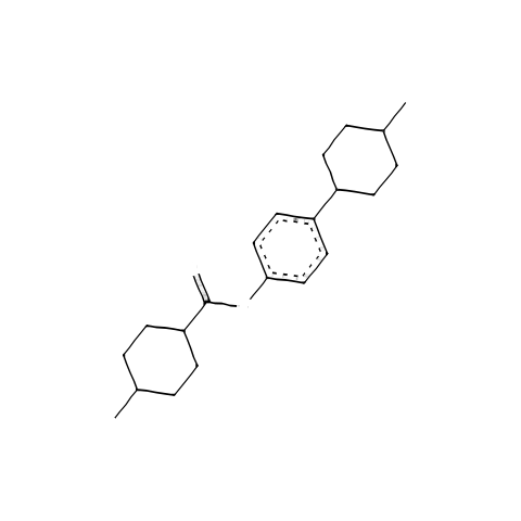 CC1CCC(C(=O)Oc2ccc(C3CCC(C)CC3)cc2)CC1